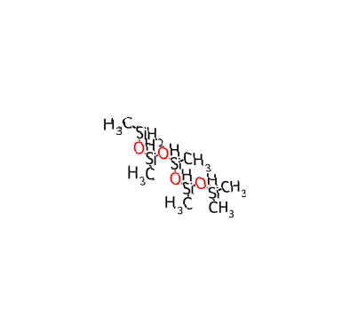 C[SiH2]O[SiH](C)O[SiH](C)O[SiH](C)O[SiH](C)C